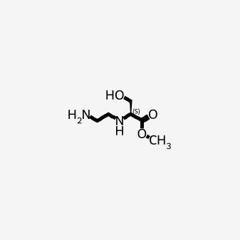 COC(=O)[C@H](CO)NCCN